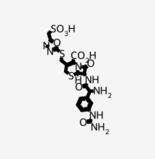 NC(=O)Nc1cccc(C(N)C(=O)NC2C(=O)N3C(C(=O)O)=C(CSc4nnc(CS(=O)(=O)O)o4)CS[C@H]23)c1